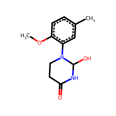 COc1ccc(C)cc1N1CCC(=O)NC1O